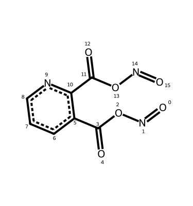 O=NOC(=O)c1cccnc1C(=O)ON=O